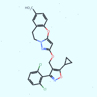 O=C(O)c1ccc2c(c1)CCn1nc(OCc3c(-c4c(Cl)cccc4Cl)noc3C3CC3)cc1O2